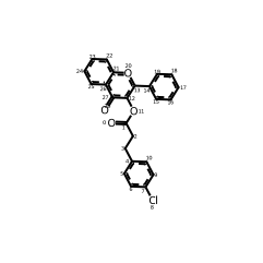 O=C(CCc1ccc(Cl)cc1)Oc1c(-c2ccccc2)oc2ccccc2c1=O